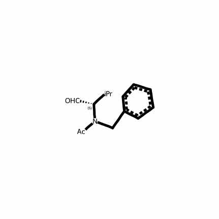 CC(=O)N(Cc1ccccc1)[C@H](C=O)C(C)C